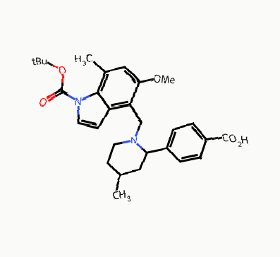 COc1cc(C)c2c(ccn2C(=O)OC(C)(C)C)c1CN1CCC(C)CC1c1ccc(C(=O)O)cc1